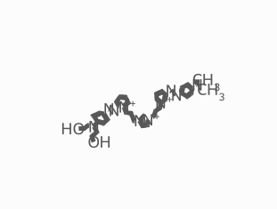 CN(C)c1ccc(/N=N/c2ccc[n+](CCC[n+]3ccn(CCC[n+]4ccccc4/N=N/c4ccc(N(CCO)CCO)cc4)c3)c2)cc1